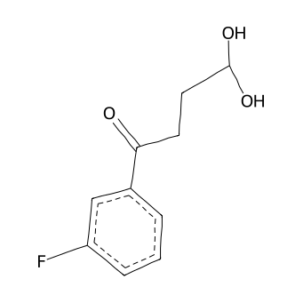 O=C(CCC(O)O)c1cccc(F)c1